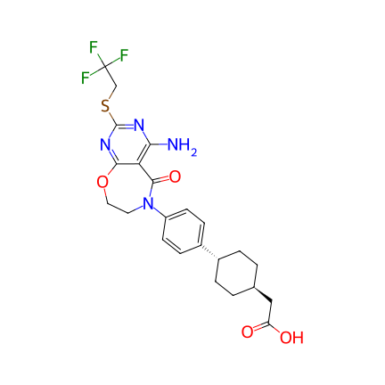 Nc1nc(SCC(F)(F)F)nc2c1C(=O)N(c1ccc([C@H]3CC[C@H](CC(=O)O)CC3)cc1)CCO2